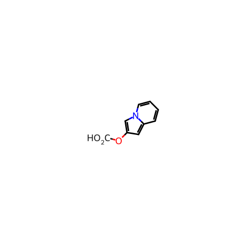 O=C(O)Oc1cc2ccccn2c1